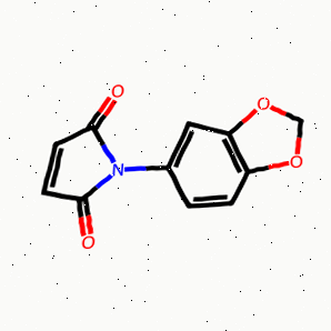 O=C1C=CC(=O)N1c1ccc2c(c1)OCO2